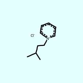 CC(C)CC[n+]1ccccc1.[Cl-]